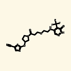 N#Cc1cnc(OC2CCN(C(=O)CCOCCNc3cn[nH]c(=O)c3C(F)(F)F)C2)s1